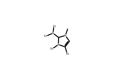 CCC1=CN(C)C(N(CC)CC)N1CC